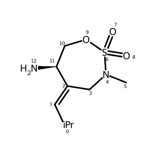 CC(C)/C=C1\CN(C)S(=O)(=O)OC[C@@H]1N